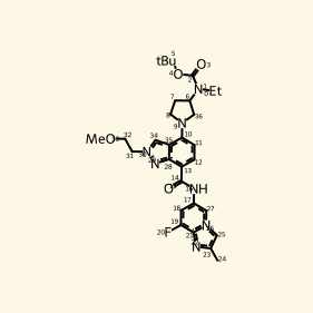 CCN(C(=O)OC(C)(C)C)C1CCN(c2ccc(C(=O)Nc3cc(F)c4nc(C)cn4c3)c3nn(CCOC)cc23)C1